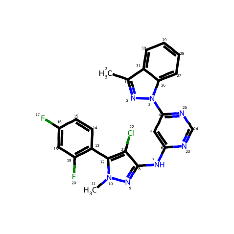 Cc1nn(-c2cc(Nc3nn(C)c(-c4ccc(F)cc4F)c3Cl)ncn2)c2ccccc12